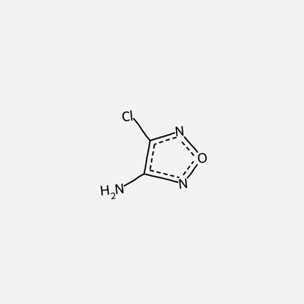 Nc1nonc1Cl